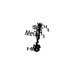 CO[C@H](C)CN(CCCCc1ccc2c(n1)NCCC2)CCCC(=O)Oc1c(C)ncnc1C(C)(C)C